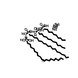 CCCCCCCC/C=C\CCCCCCCCP(=O)(O)O.CCCCCCCCCCCCCCCCCCP(=O)(O)O.CCCCCCCCCCCCP(=O)(O)O.CCCCCCCCCCP(=O)(O)O.[Nd].[Nd].[Nd].[Nd]